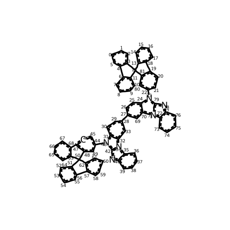 c1ccc2c(c1)-c1ccccc1C21c2ccccc2-c2ccc(-n3c4ccc(-c5ccc6c(c5)n5c7ccccc7nc5n6-c5ccc6c(c5)C5(c7ccccc7-c7ccccc75)c5ccccc5-6)cc4n4c5ccccc5nc34)cc21